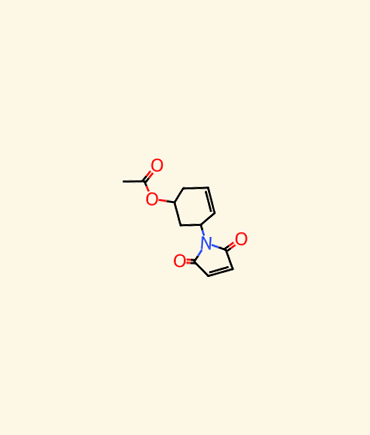 CC(=O)OC1CC=CC(N2C(=O)C=CC2=O)C1